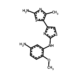 COc1ccc(N)cc1Nc1nc(-c2sc(N)nc2C)cs1